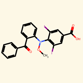 CON(c1ccccc1C(=O)c1ccccc1)c1c(I)cc(C(=O)O)cc1I